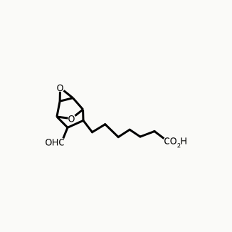 O=CC1C(CCCCCCC(=O)O)C2OC1C1OC21